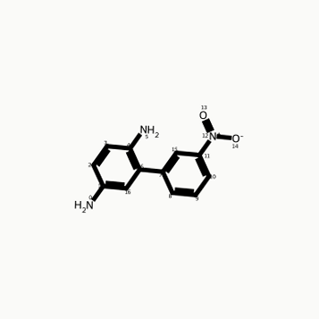 Nc1ccc(N)c(-c2cccc([N+](=O)[O-])c2)c1